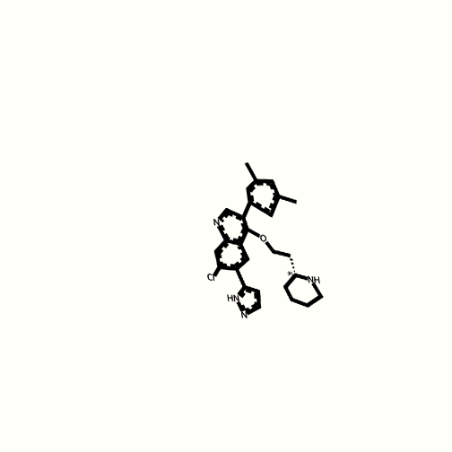 Cc1cc(C)cc(-c2cnc3cc(Cl)c(-c4ccn[nH]4)cc3c2OCC[C@H]2CCCCN2)c1